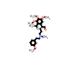 COc1cccc(CCN(C)CCC[C@H](C=O)c2cc(OC)c(OC)c(OC)c2C(C)C)c1